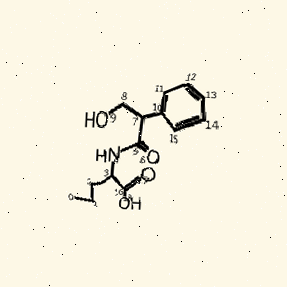 CCCC(NC(=O)C(CO)c1ccccc1)C(=O)O